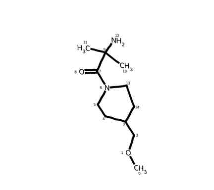 COCC1CCN(C(=O)C(C)(C)N)CC1